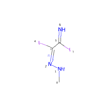 CN/N=C(/I)C(=N)I